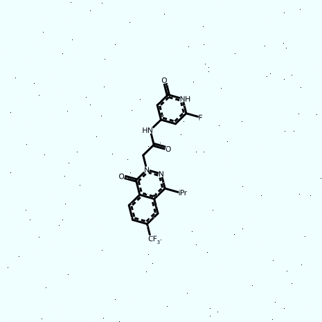 CC(C)c1nn(CC(=O)Nc2cc(F)[nH]c(=O)c2)c(=O)c2ccc(C(F)(F)F)cc12